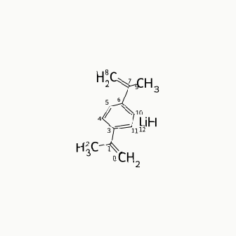 C=C(C)c1ccc(C(=C)C)cc1.[LiH]